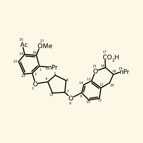 CCCc1c(OC2CCC(Oc3ccc4c(c3)OC(C(=O)O)C(CCC)C4)C2)ccc(C(C)=O)c1OC